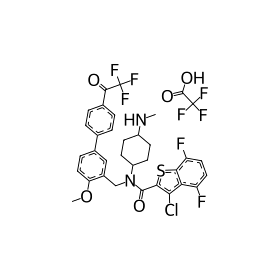 CNC1CCC(N(Cc2cc(-c3ccc(C(=O)C(F)(F)F)cc3)ccc2OC)C(=O)c2sc3c(F)ccc(F)c3c2Cl)CC1.O=C(O)C(F)(F)F